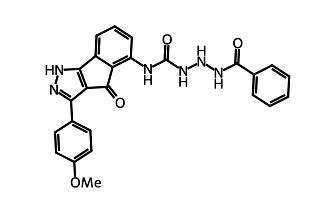 COc1ccc(-c2n[nH]c3c2C(=O)c2c(NC(=O)NNNC(=O)c4ccccc4)cccc2-3)cc1